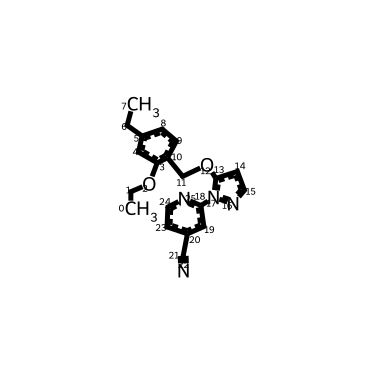 CCOc1cc(CC)ccc1COc1ccnn1-c1cc(C#N)ccn1